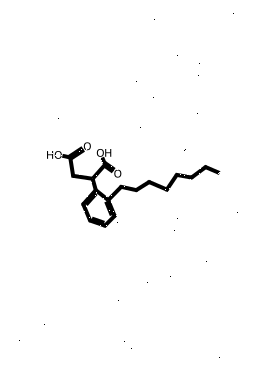 CCCCCCCCc1ccccc1C(CC(=O)O)C(=O)O